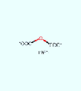 O=C([O-])OC(=O)[O-].[Pb+2]